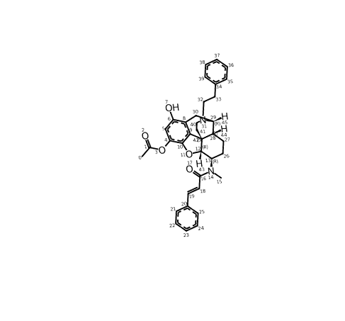 CC(=O)Oc1cc(O)c2c3c1O[C@H]1[C@H](N(C)C(=O)C=Cc4ccccc4)CC[C@H]4[C@@H](C2)N(CCc2ccccc2)CC[C@@]341